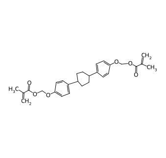 C=C(C)C(=O)OCOc1ccc(C2CCC(c3ccc(OCOC(=O)C(=C)C)cc3)CC2)cc1